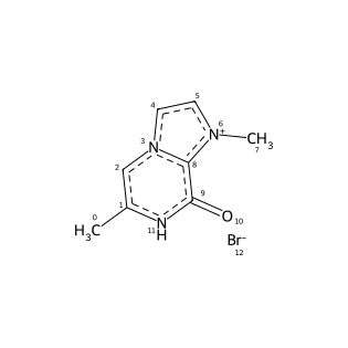 Cc1cn2cc[n+](C)c2c(=O)[nH]1.[Br-]